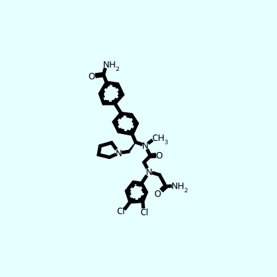 CN(C(=O)CN(CC(N)=O)c1ccc(Cl)c(Cl)c1)[C@@H](CN1CCCC1)c1ccc(-c2ccc(C(N)=O)cc2)cc1